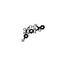 CCN(C(=O)c1nc2cc(C#N)ccc2[nH]1)C1CCCC(NCc2oc3ccccc3c2C#N)C1